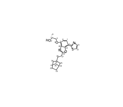 C[C@@H](O)COc1ccc(-c2nccs2)c2oc(CCC3CC4CCC(C3)C4)nc12